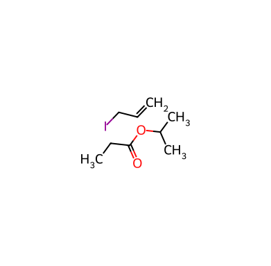 C=CCI.CCC(=O)OC(C)C